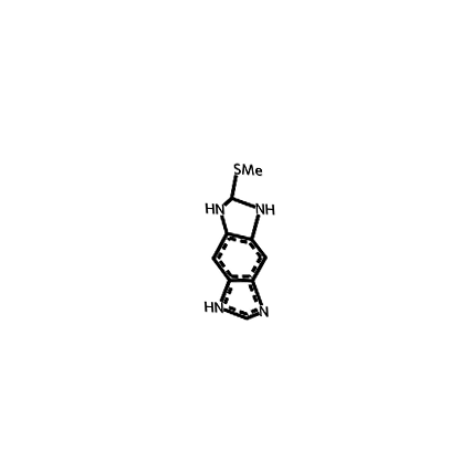 CSC1Nc2cc3nc[nH]c3cc2N1